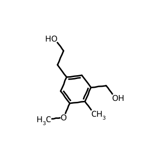 COc1cc(CCO)cc(CO)c1C